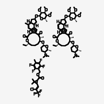 CC[C@H]1CCC[C@H](O[C@H]2CC[C@H](N(C)C)[C@@H](C)O2)[C@@H](C)C(=O)C2=C[C@@H]3[C@@H](C=C(C)[C@@H]4C[C@@H](O[C@@H]5O[C@@H](C)[C@H](OC)[C@@H](OC)[C@H]5OC)C[C@@H]34)[C@@H]2CC(=O)O1.CC[C@H]1CCC[C@H](O[C@H]2CC[C@H](N(C)C)[C@@H](C)O2)[C@@H](C)C(=O)C2=C[C@@H]3[C@@H](C=C[C@@H]4C[C@@H](O[C@@H]5O[C@@H](C)[C@H](OC)[C@@H](OC)[C@H]5OC)C[C@@H]34)[C@@H]2CC(=O)O1.Cc1c(F)c(F)c(COC(=O)C2C(/C=C(\Cl)C(F)(F)F)C2(C)C)c(F)c1F